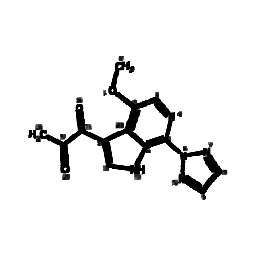 COc1cnc(-n2nccn2)c2[nH]cc(C(=O)C(C)=O)c12